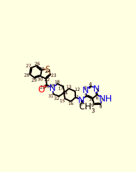 CN(c1ncnc2[nH]ccc12)C1CCC2(CC1)CCN(C(=O)c1csc3ccccc13)CC2